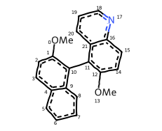 COc1ccc2ccccc2c1-c1c(OC)ccc2ncccc12